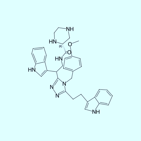 COc1ccc(Cn2c(CCc3c[nH]c4ccccc34)nnc2C(CNC(=O)[C@H]2CNCCN2)c2c[nH]c3ccccc23)cc1